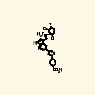 CC(=Cc1c[nH]c2ncc(-c3cnn(C4CCN(C(=O)O)CC4)c3)cc12)c1c(Cl)ccc(F)c1Cl